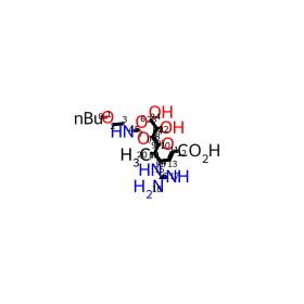 CCCCOCCNC(=O)O[C@@H]([C@@H]1OC(C(=O)O)=C[C@H](NC(=N)N)[C@H]1C)[C@H](O)CO